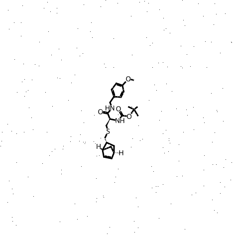 COc1ccc(CNC(=O)[C@H](CSC[C@@H]2C[C@H]3C=C[C@H]2C3)NC(=O)OC(C)(C)C)cc1